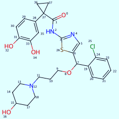 O=C(Nc1ncc(C(OCCCN2CCC(O)CC2)c2ccccc2Cl)s1)C1(c2ccc(O)c(O)c2)CC1